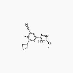 COc1nnc(-c2cc(C#N)c(C)c(C3CCC3)c2)[nH]1